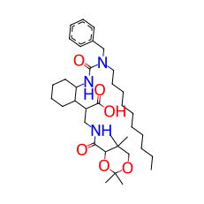 CCCCCCCCCCN(Cc1ccccc1)C(=O)NC1CCCCC1C(CNC(=O)C1OC(C)(C)OCC1(C)C)C(=O)O